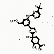 COCc1cc(Nc2nccc(C(F)(F)F)n2)cc(-c2cnc(C3(O)CCC(C(=O)O)C(C)C3)s2)c1